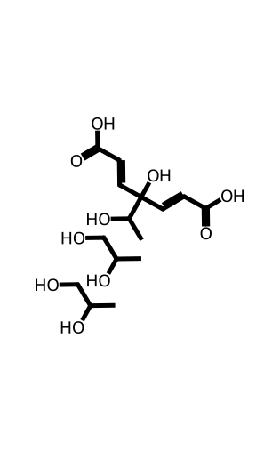 CC(O)C(O)(C=CC(=O)O)C=CC(=O)O.CC(O)CO.CC(O)CO